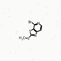 CSc1nc2ccnc(Br)c2s1